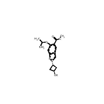 COC(=O)c1cc2cn([C@H]3C[C@H](O)C3)nc2cc1OC(C)C